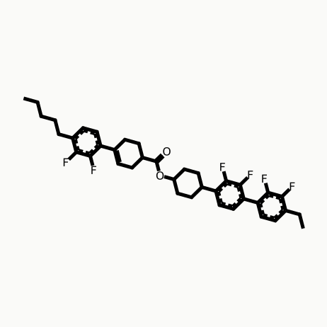 CCCCCc1ccc(C2=CCC(C(=O)OC3CCC(c4ccc(-c5ccc(CC)c(F)c5F)c(F)c4F)CC3)CC2)c(F)c1F